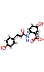 O=C(C=Cc1ccc(O)cc1)Nc1ccc(O)cc1C(=O)O